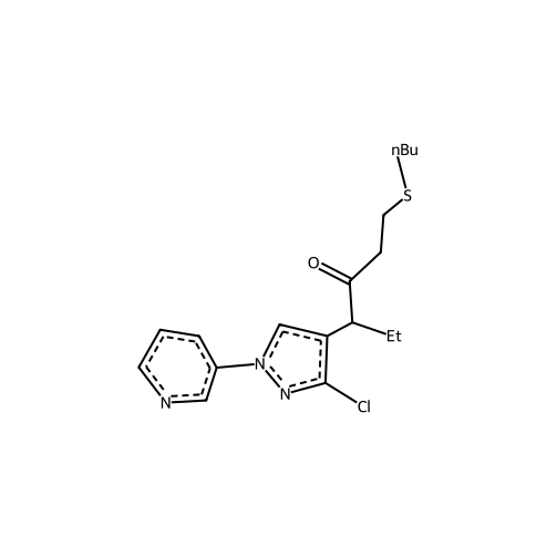 CCCCSCCC(=O)C(CC)c1cn(-c2cccnc2)nc1Cl